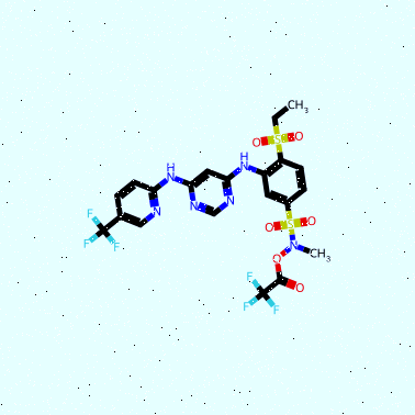 CCS(=O)(=O)c1ccc(S(=O)(=O)N(C)OC(=O)C(F)(F)F)cc1Nc1cc(Nc2ccc(C(F)(F)F)cn2)ncn1